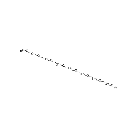 CCCOCCOCCOCCOCCOCCOCCOCCOCCOCCOCCOCCOCCOCCOCCOCCC